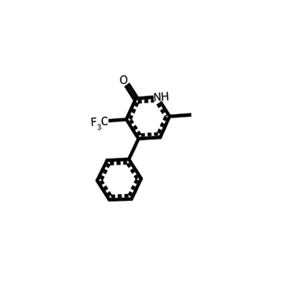 Cc1cc(-c2ccccc2)c(C(F)(F)F)c(=O)[nH]1